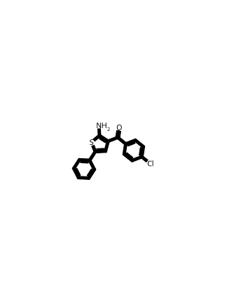 Nc1sc(-c2ccccc2)cc1C(=O)c1ccc(Cl)cc1